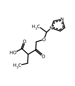 CCC(C(=O)O)C(=O)COC(C)n1ccnc1